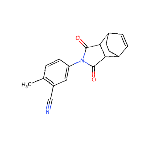 Cc1ccc(N2C(=O)C3C4C=CC(CC4)C3C2=O)cc1C#N